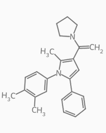 C=C(c1cc(-c2ccccc2)n(-c2ccc(C)c(C)c2)c1C)N1CCCC1